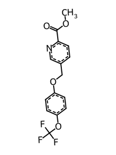 COC(=O)c1ccc(COc2ccc(OC(F)(F)F)cc2)cn1